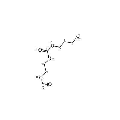 CC(=O)CCCOC(=O)OCCOC=O